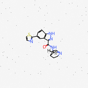 O=C(N[C@@H]1CN2CCC1CC2)c1n[nH]c2ccc(-c3nccs3)cc12